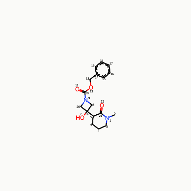 CN1CCCC(C2(O)CN(C(=O)OCc3ccccc3)C2)C1=O